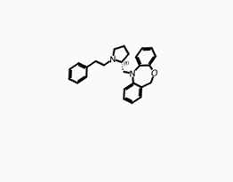 c1ccc(CCN2CCC[C@@H]2CN2c3ccccc3COc3ccccc32)cc1